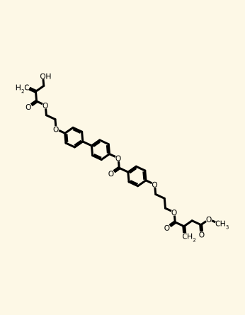 C=C(CO)C(=O)OCCOc1ccc(-c2ccc(OC(=O)c3ccc(OCCCOC(=O)C(=C)CC(=O)OC)cc3)cc2)cc1